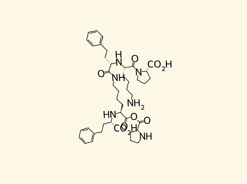 NCCCC[C@H](N[C@@H](CCc1ccccc1)C(=O)NCCCC[C@H](N[C@@H](CCc1ccccc1)C(=O)O)C(=O)OC(=O)C1CCCN1)C(=O)N1CCC[C@H]1C(=O)O